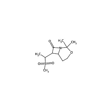 CC(C1C(=O)N2C1CCOC2(C)C)S(C)(=O)=O